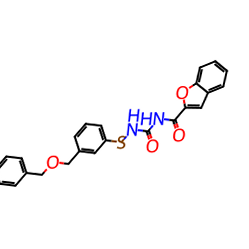 O=C(NSc1cccc(COCc2ccccc2)c1)NC(=O)c1cc2ccccc2o1